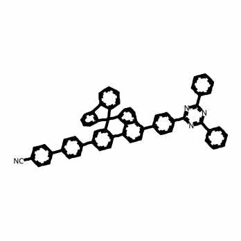 N#Cc1ccc(-c2ccc(-c3ccc4c(c3)C3(c5ccccc5-c5ccccc53)c3cccc5c(-c6ccc(-c7nc(-c8ccccc8)nc(-c8ccccc8)n7)cc6)ccc-4c35)cc2)cc1